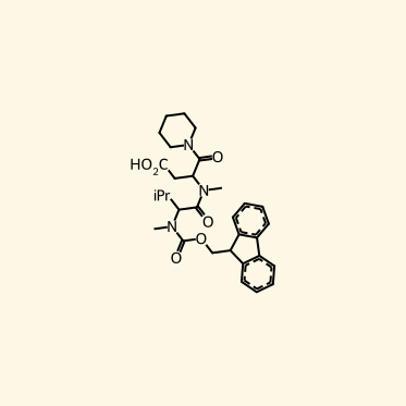 CC(C)C(C(=O)N(C)C(CC(=O)O)C(=O)N1CCCCC1)N(C)C(=O)OCC1c2ccccc2-c2ccccc21